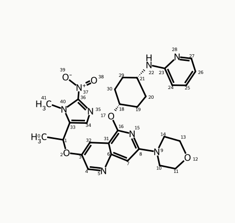 CC(Oc1cnc2cc(N3CCOCC3)nc(O[C@H]3CC[C@@H](Nc4ccccn4)CC3)c2c1)c1cnc([N+](=O)[O-])n1C